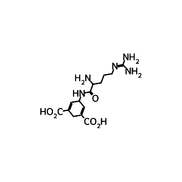 NC(N)=NCCCC(N)C(=O)NC1C=C(C(=O)O)CC(C(=O)O)=C1